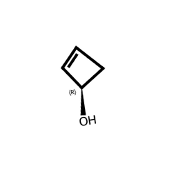 O[C@H]1C=CC1